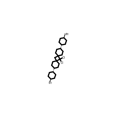 CCC[C@H]1CC[C@H](C2CCC3(CC2)CC2(CCC([C@H]4CC[C@H](CC)CC4)CC2)C3(Cl)Cl)CC1